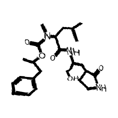 CC(C)CC(C(=O)NC(CO)CC1CCNC1=O)N(C)C(=O)OC(C)Cc1ccccc1